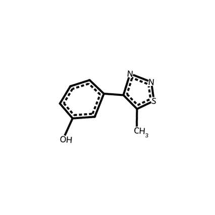 Cc1snnc1-c1cccc(O)c1